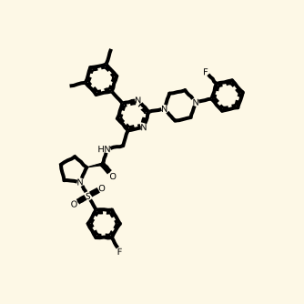 Cc1cc(C)cc(-c2cc(CNC(=O)[C@@H]3CCCN3S(=O)(=O)c3ccc(F)cc3)nc(N3CCN(c4ccccc4F)CC3)n2)c1